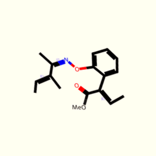 C/C=C(C)/C(C)=N\Oc1ccccc1/C(=C\C)C(=O)OC